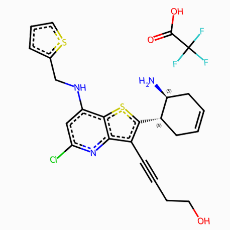 N[C@H]1CC=CC[C@@H]1c1sc2c(NCc3cccs3)cc(Cl)nc2c1C#CCCO.O=C(O)C(F)(F)F